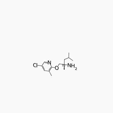 Cc1cc(Cl)cnc1OC[C@@](C)(N)CC(C)C